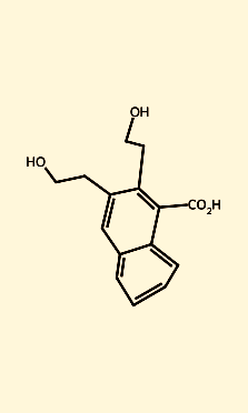 O=C(O)c1c(CCO)c(CCO)cc2ccccc12